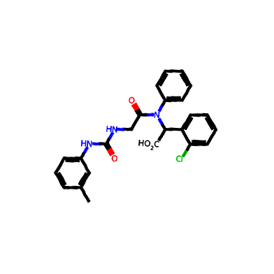 Cc1cccc(NC(=O)NCC(=O)N(c2ccccc2)C(C(=O)O)c2ccccc2Cl)c1